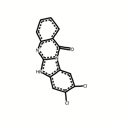 O=c1c2ccccc2nc2[nH]c3cc(Cl)c(Cl)cc3n12